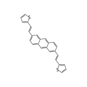 C(=Cc1cccs1)c1ccc2cc3cc(C=Cc4cccs4)ccc3cc2c1